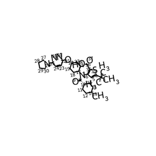 CC(C)(C)c1cc(N(C(=O)[C@H]2CC[C@H](C)CC2)[C@H]2CC[C@H](Oc3ccc(N4CCCC4)nn3)CC2)c(C(=O)O)s1